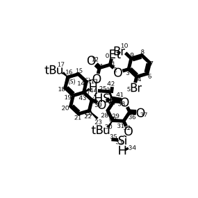 CCC(Oc1c(Br)cccc1Br)C(=O)O[C@H]1C[C@H](C(C)(C)C)C=C2C=C[C@H](C)[C@](CC[C@@H]3C[C@H](C(C)(C)C)C(O[SiH](C)C)C(=O)O3)(O[SiH](C)C)[C@H]21